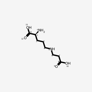 N[C@@H](CCCNCCC(=O)O)C(=O)O